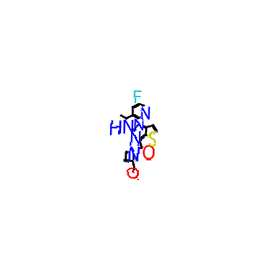 COCC1CCN1C(=O)c1nc(NC(C)c2cncc(F)c2)nc2ccsc12